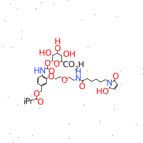 CC(C)C(=O)OCc1ccc(NC(=O)O[C@@H]2O[C@H](C(=O)O)[C@@H](O)[C@H](O)[C@H]2O)c(OCCOCCNC(=O)CCCCCN2C(=O)C=CC2O)c1